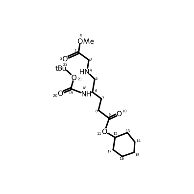 COC(=O)CNCC(CCC(=O)OC1CCCCC1)NC(=O)OC(C)(C)C